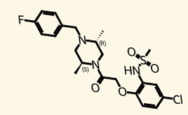 C[C@@H]1CN(C(=O)COc2ccc(Cl)cc2NS(C)(=O)=O)[C@@H](C)CN1Cc1ccc(F)cc1